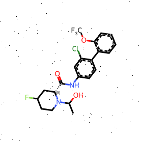 CC(O)N1CCC(F)C[C@@H]1C(=O)Nc1ccc(-c2ccccc2OC(F)(F)F)c(Cl)c1